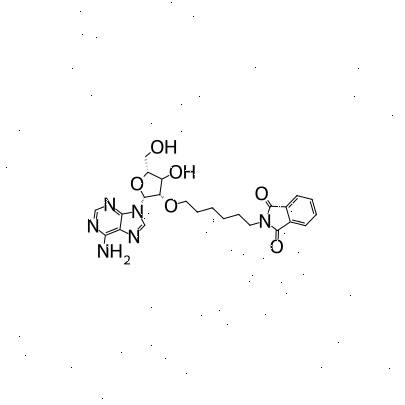 Nc1ncnc2c1ncn2[C@@H]1O[C@H](CO)C(O)[C@@H]1OCCCCCCN1C(=O)c2ccccc2C1=O